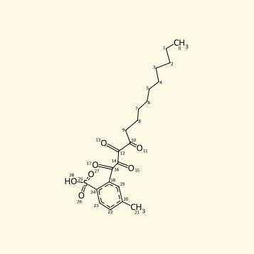 CCCCCCCCCCC(=O)C(=O)C(=O)C(=O)c1cc(C)ccc1S(=O)(=O)O